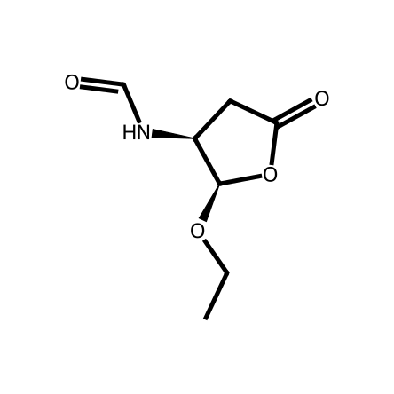 CCO[C@@H]1OC(=O)C[C@@H]1NC=O